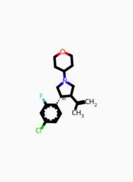 C=C(C)C1CN(C2CCOCC2)C[C@H]1c1ccc(Cl)cc1F